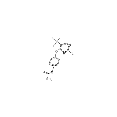 NC(=O)Oc1ccc(Oc2nc(Cl)ncc2C(F)(F)F)cc1